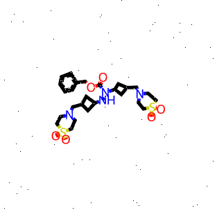 O=C(OCc1ccccc1)N(NC1CC(CN2CCS(=O)(=O)CC2)C1)C1CC(CN2CCS(=O)(=O)CC2)C1